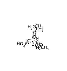 C[Si](C)(C)CCOCn1ccc2c(N[C@@H]3CCCN(C(=O)O)C3)c(-c3ccnc(S(C)(=O)=O)n3)cnc21